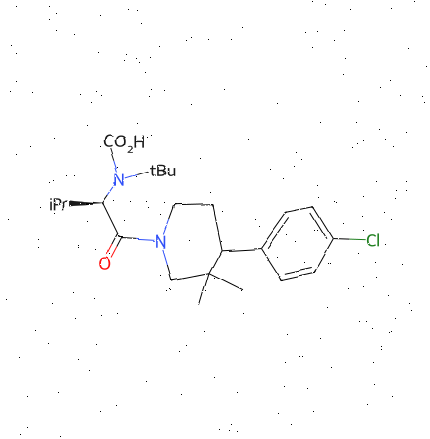 CC(C)[C@H](C(=O)N1CCC(c2ccc(Cl)cc2)C(C)(C)C1)N(C(=O)O)C(C)(C)C